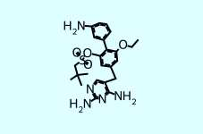 CCOc1cc(Cc2cnc(N)nc2N)cc(OS(=O)(=O)CC(C)(C)C)c1-c1cccc(N)c1